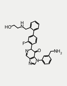 NCc1cccc(-n2cnc3c2C(=O)C(c2ccc(-c4ccccc4CNCCO)cc2F)N=C3)c1